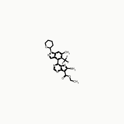 CCOC(=O)c1c(N)sc2c(-c3c(C(F)(F)F)c(C)cc4c3cnn4C3CCCCO3)ncnc12